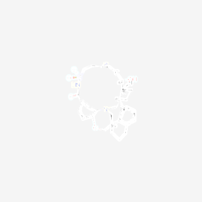 O=C1NS(=O)(=O)CC/C=C\C[C@H](O)[C@@H]2CC[C@H]2CN2C[C@@]3(CCCc4ccccc43)COc3ccc1cc32